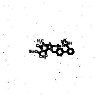 CCCCc1nc2c(c(=O)n(C(C)OC)c(=O)n2C)n1Cc1ccc(-c2ccccc2-c2nnn[nH]2)cc1